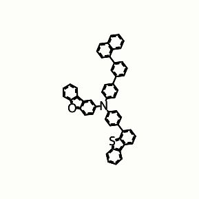 c1cc(-c2ccc(N(c3ccc(-c4cccc5c4sc4ccccc45)cc3)c3ccc4oc5ccccc5c4c3)cc2)cc(-c2cccc3ccccc23)c1